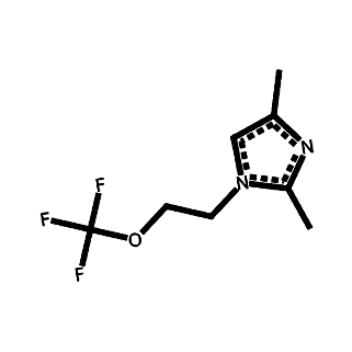 Cc1cn(CCOC(F)(F)F)c(C)n1